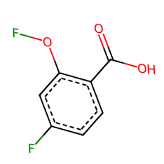 O=C(O)c1ccc(F)cc1OF